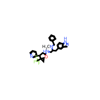 CN(Cc1ccccc1)C(CNC(=O)CC(c1cccnc1)C1(C(F)(F)F)CC1)Cc1ccc2[nH]ncc2c1